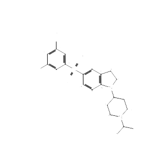 CC(C)N1CCC(N2CCc3cc(S(=O)(=O)c4cc(F)cc(F)c4)ccc32)CC1